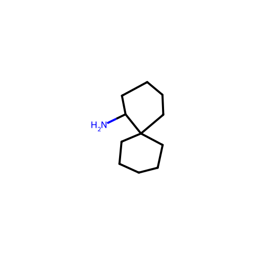 NC1CCCCC12CCCCC2